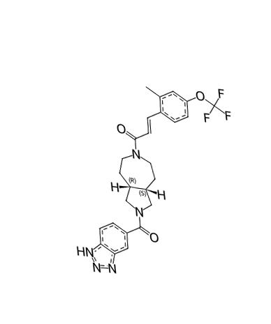 Cc1cc(OC(F)(F)F)ccc1C=CC(=O)N1CC[C@@H]2CN(C(=O)c3ccc4[nH]nnc4c3)C[C@@H]2CC1